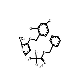 CCC(N)(C(=O)O)C(=O)OCc1ccccc1.O=C(O)c1sccc1OCc1ccc(Cl)cc1Cl